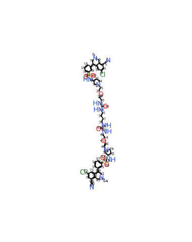 CN1Cc2c(C#N)cc(Cl)cc2C(c2cccc(S(=O)(=O)N[C@H]3CCN(CCOCCNC(=O)NCCCCNC(=O)NCCOCCN4CC[C@H](NS(=O)(=O)c5cccc(C6CN(C)Cc7c(C#N)cc(Cl)cc76)c5)C4)C3)c2)C1